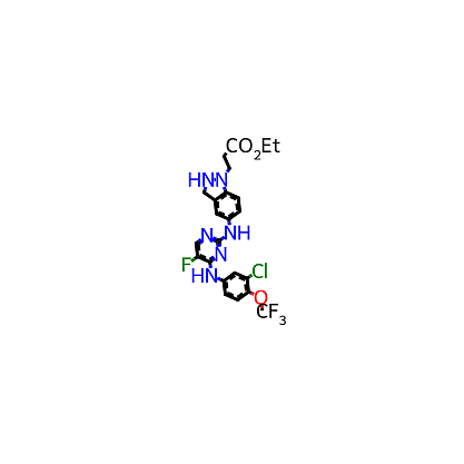 CCOC(=O)CCN1NCc2cc(Nc3ncc(F)c(Nc4ccc(OC(F)(F)F)c(Cl)c4)n3)ccc21